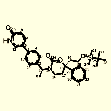 C[C@@H](c1ccc(-c2ccc(=O)[nH]c2)cc1)N1CC[C@](CCO[Si](C)(C)C(C)(C)C)(c2ccccc2)OC1=O